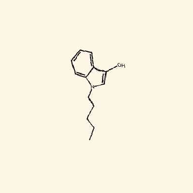 CCCCCn1cc(O)c2ccccc21